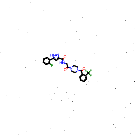 O=C(NCC(=O)N1CCN(C(=O)c2ccccc2C(F)(F)F)CC1)c1cc(-c2ccccc2F)[nH]n1